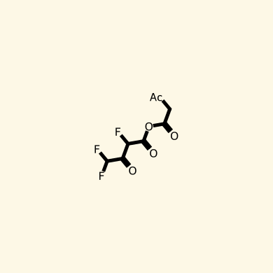 CC(=O)CC(=O)OC(=O)C(F)C(=O)C(F)F